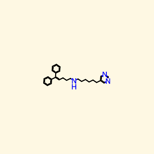 C(CCCNCCCCCCc1cncnc1)=C(c1ccccc1)c1ccccc1